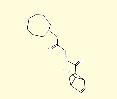 O=C(COC(=O)C1CC2C=CC1C2O)OC1CCCCCCC1